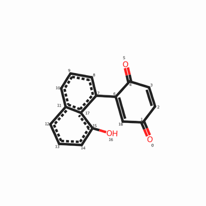 O=C1C=CC(=O)C(c2cccc3cccc(O)c23)=C1